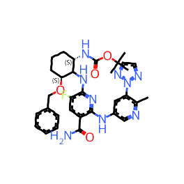 Cc1ncc(Nc2nc(NC3[C@@H](NC(=O)OC(C)(C)C)CCC[C@@H]3OCc3ccccc3)c(F)cc2C(N)=O)cc1-n1nccn1